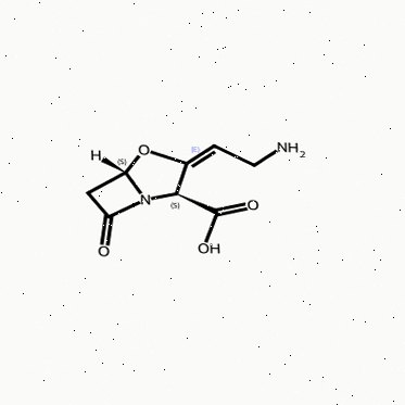 NC/C=C1/O[C@H]2CC(=O)N2[C@@H]1C(=O)O